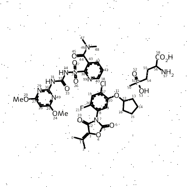 CC(C)=C1OC(=O)N(c2cc(OC3CCCC3)c(Cl)cc2F)C1=O.COc1cc(OC)nc(NC(=O)NS(=O)(=O)c2ncccc2C(=O)N(C)C)n1.CP(=O)(O)CCC(N)C(=O)O